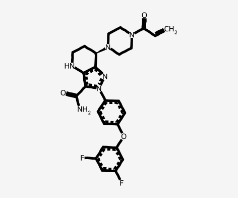 C=CC(=O)N1CCN([C@@H]2CCNc3c2nn(-c2ccc(Oc4cc(F)cc(F)c4)cc2)c3C(N)=O)CC1